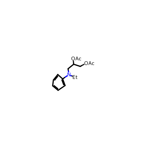 CCN(CC(COC(C)=O)OC(C)=O)c1ccccc1